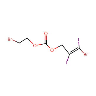 O=C(OCCBr)OCC(I)=C(Br)I